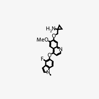 COc1cc2c(Oc3ccc4c(ccn4C)c3F)ccnc2cc1OCC1(N)CC1